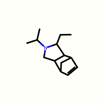 CCC1C2C3C=CC(C3)C2CN1C(C)C